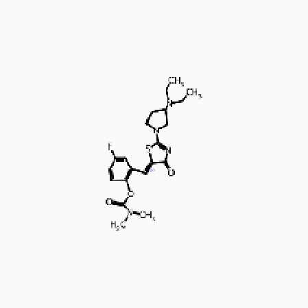 CCN(CC)C1CCN(C2=NC(=O)/C(=C/c3cc(F)ccc3OC(=O)N(C)C)S2)C1